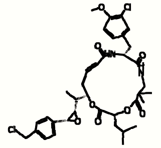 COc1ccc(C[C@H]2NC(=O)/C=C/C[C@@H](C(C)[C@@H]3O[C@@H]3c3ccc(CCl)cc3)OC(=O)[C@H](CC(C)C)OC(=O)C(C)(C)CNC2=O)cc1Cl